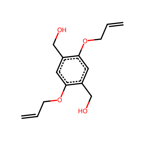 C=CCOc1cc(CO)c(OCC=C)cc1CO